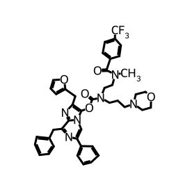 CN(CCN(CCCN1CCOCC1)C(=O)Oc1c(Cc2ccco2)nc2c(Cc3ccccc3)nc(-c3ccccc3)cn12)C(=O)c1ccc(C(F)(F)F)cc1